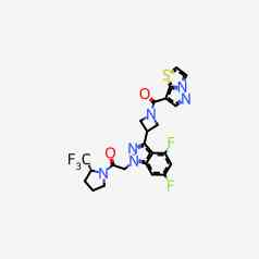 O=C(c1cnn2ccsc12)N1CC(c2nn(CC(=O)N3CCC[C@H]3C(F)(F)F)c3cc(F)cc(F)c23)C1